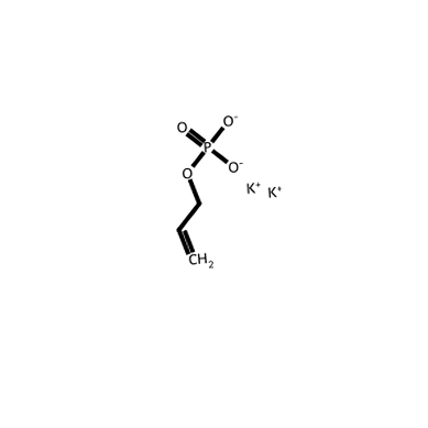 C=CCOP(=O)([O-])[O-].[K+].[K+]